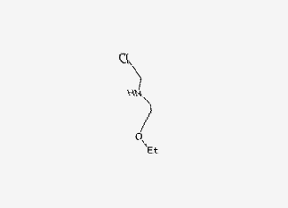 CCOCNCCl